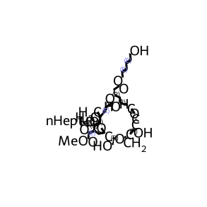 C=C1C[C@H](O)CCOCC[C@@H]2C[C@H](CC(=O)OC/C=C/C=C/CO)O[C@H](/C=C/C(C)(C)[C@]3(O)OC(C/C(=C\C(=O)OC)[C@@H]3OC(=O)CCCCCCC)C[C@H](CO)O1)O2